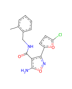 Cc1ccccc1CNC(=O)c1c(-c2ccc(Cl)o2)noc1N